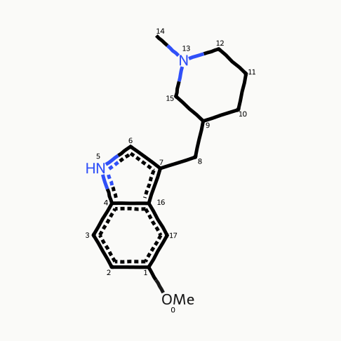 COc1ccc2[nH]cc(CC3CCCN(C)C3)c2c1